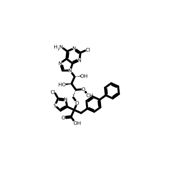 CO[C@H](COC(Cc1ccc(-c2ccccc2)cc1)(C(=O)O)c1csc(Cl)n1)[C@@H](O)[C@@H](O)n1cnc2c(N)nc(Cl)nc21